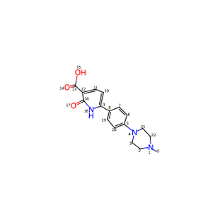 CN1CCN(c2ccc(-c3ccc(C(=O)O)c(=O)[nH]3)cc2)CC1